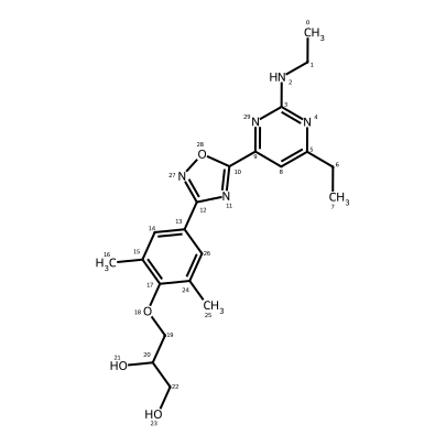 CCNc1nc(CC)cc(-c2nc(-c3cc(C)c(OCC(O)CO)c(C)c3)no2)n1